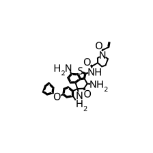 C=CC(=O)N1CCCC(C(=O)Nc2sc3c(N)ccc4c3c2C(N)C(=O)C4(N)c2ccc(Oc3ccccc3)cc2C)C1